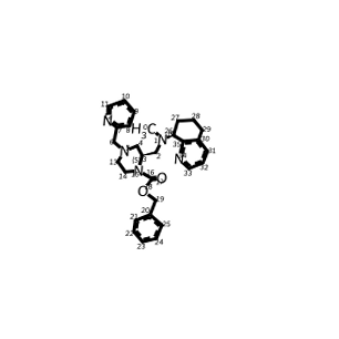 CN(C[C@@H]1CN(Cc2ccccn2)CCN1C(=O)OCc1ccccc1)[C@H]1CCCc2cccnc21